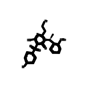 COc1ccccc1[C@@H](C)n1c(CCC(C)C)nc(O)c(S(=O)(=O)c2ccc(Br)cc2)c1=O